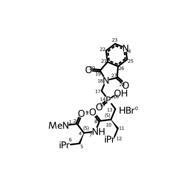 Br.CNC(=O)[C@H](CC(C)C)NC(=O)[C@H](CC(C)C)CP(=O)(O)CN1C(=O)c2ccncc2C1=O